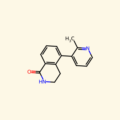 Cc1ncccc1-c1cccc2c1CCNC2=O